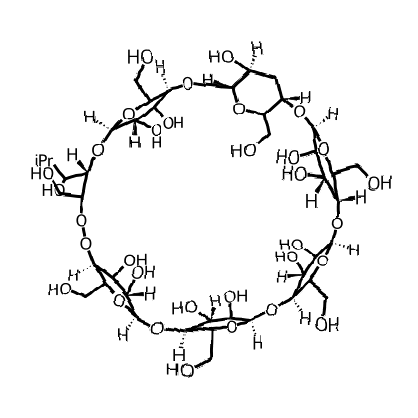 CC(C)C(O)[C@@H]1O[C@H]2OC(CO)[C@@H](O[C@H]3OC(CO)[C@H](C[C@@H]3O)O[C@H]3OC(CO)[C@H](O[C@H]4OC(CO)[C@@H](O[C@H]5OC(CO)[C@@H](O[C@H]6OC(CO)[C@@H](OOC1CO)C(O)[C@@H]6O)[C@H](O)C5O)[C@H](O)C4O)[C@H](O)C3O)C(O)[C@@H]2O